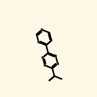 CC(C)c1nnc(-c2ccncn2)nn1